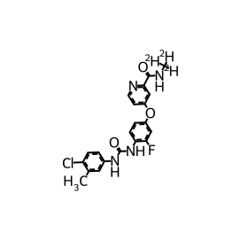 [2H]C([2H])([2H])NC(=O)c1cc(Oc2ccc(NC(=O)Nc3ccc(Cl)c(C)c3)c(F)c2)ccn1